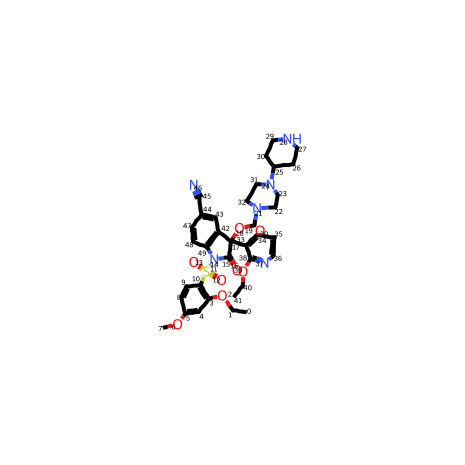 CCOc1cc(OC)ccc1S(=O)(=O)N1C(=O)C(OC(=O)N2CCN(C3CCNCC3)CC2)(c2cccnc2OCC)c2cc(C#N)ccc21